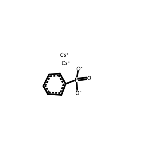 O=P([O-])([O-])c1ccccc1.[Cs+].[Cs+]